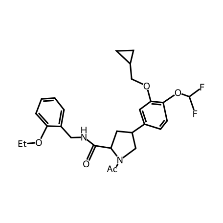 CCOc1ccccc1CNC(=O)C1CC(c2ccc(OC(F)F)c(OCC3CC3)c2)CN1C(C)=O